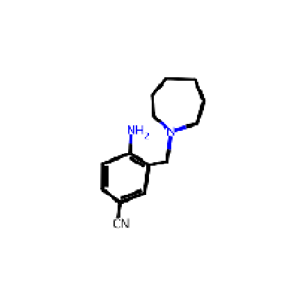 N#Cc1ccc(N)c(CN2CCCCCC2)c1